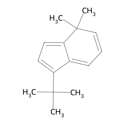 CC(C)(C)C1=CC=C2C1=CC=CC2(C)C